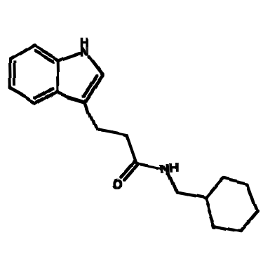 O=C(CCc1c[nH]c2ccccc12)NCC1CCCCC1